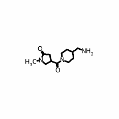 CN1CC(C(=O)N2CCC(CN)CC2)CC1=O